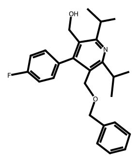 CC(C)c1nc(C(C)C)c(COCc2ccccc2)c(-c2ccc(F)cc2)c1CO